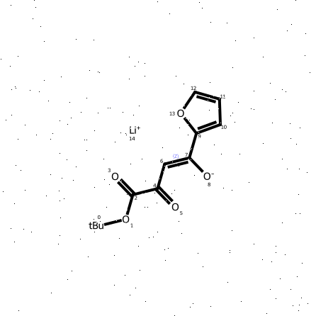 CC(C)(C)OC(=O)C(=O)/C=C(\[O-])c1ccco1.[Li+]